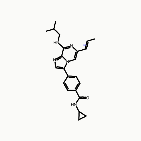 C/C=C/c1cn2c(-c3ccc(C(=O)NC4CC4)cc3)cnc2c(NCC(C)C)n1